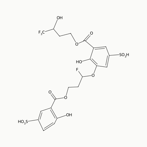 O=C(OCCC(F)Oc1cc(S(=O)(=O)O)cc(C(=O)OCCC(O)C(F)(F)F)c1O)c1cc(S(=O)(=O)O)ccc1O